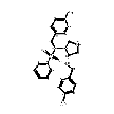 O=S(=O)(c1ccccc1)N(Cc1ccc(C(F)(F)F)cc1)[C@H]1CNC[C@@H]1NCc1ccc(C(F)(F)F)cc1